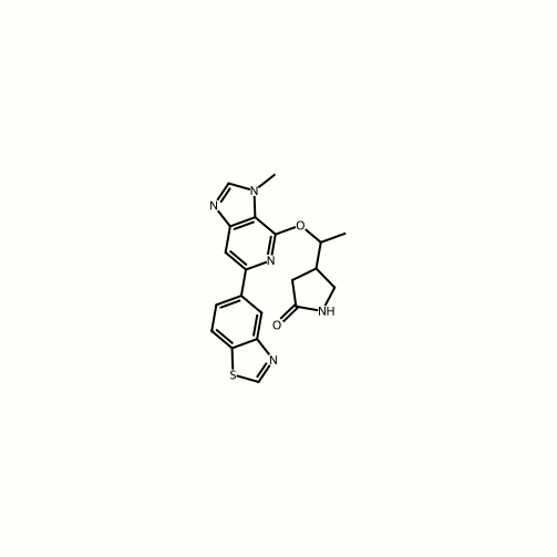 CC(Oc1nc(-c2ccc3scnc3c2)cc2ncn(C)c12)C1CNC(=O)C1